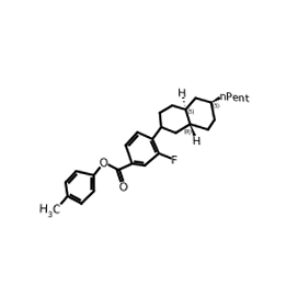 CCCCC[C@H]1CC[C@@H]2CC(c3ccc(C(=O)Oc4ccc(C)cc4)cc3F)CC[C@H]2C1